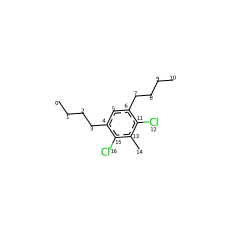 CCCCc1cc(CCCC)c(Cl)c(C)c1Cl